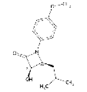 COc1ccc(N2C(=O)[C@H](O)[C@@H]2CC(C)C)cc1